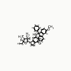 COc1ccc(C(Nc2nc3c(ncn3[C@H]3O[C@](F)(CI)[C@@H](C)[C@@]3(C)F)c(=O)[nH]2)(c2ccccc2)c2ccccc2)cc1